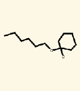 CCCCCCOC1([O])CCCCC1